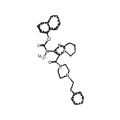 CN(C(=O)Oc1cccc2ccccc12)c1nc2n(c1C(=O)N1CCN(CCc3ccccc3)CC1)CCCC2